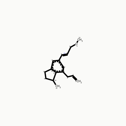 C=CCc1cc(/C=C/COC)cc2c1C(C)CC2